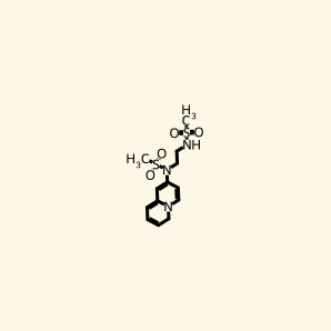 CS(=O)(=O)NCCN(C1=CC2=CC=CCN2C=C1)S(C)(=O)=O